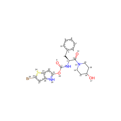 O=C(N[C@@H](Cc1ccccc1)C(=O)N1CCC(O)CC1)Oc1cc2sc(Br)cc2[nH]1